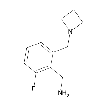 NCc1c(F)cccc1CN1CCC1